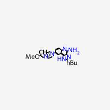 CCCCc1nc2c(N)nc3ccc(N4CCN(CC(C)OC)CC4)cc3c2[nH]1